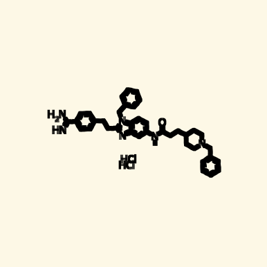 CN(C(=O)CCC1CCN(Cc2ccccc2)CC1)c1ccc2c(c1)nc(CCc1ccc(C(=N)N)cc1)n2Cc1ccccc1.Cl.Cl